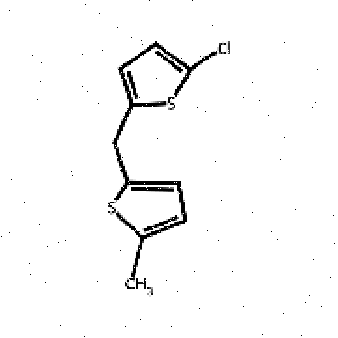 Cc1ccc(Cc2ccc(Cl)s2)s1